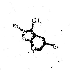 CCn1nc2ncc(Br)cc2c1C